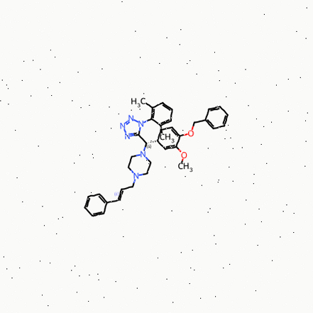 COC1=CC([C@@H](c2nnnn2-c2c(C)cccc2C)N2CCN(C/C=C/c3ccccc3)CC2)CC=C1OCc1ccccc1